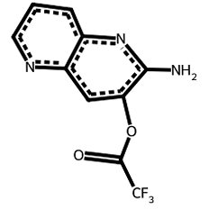 Nc1nc2cccnc2cc1OC(=O)C(F)(F)F